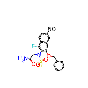 NC(=O)CN(c1c(OCc2ccccc2)cc2cc(N=O)ccc2c1F)[SH](=O)=O